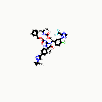 C[C@H](NC(=O)OC[C@H](c1ccc(Cl)c(-n2ncnc2C(F)F)c1)N1C(=O)[C@@](CC(C)(C)C)(c2ccc(-c3cn(C4(C(F)(F)F)CC4)nn3)cc2)N/C1=N\C(=O)OCc1ccccc1)C(F)(F)F